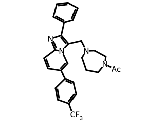 CC(=O)N1CCCN(Cc2c(-c3ccccc3)nc3ccc(-c4ccc(C(F)(F)F)cc4)cn23)CC1